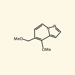 COCc1ccn2nccc2c1OC